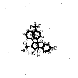 O=C(O)[C@H]1[C@@H](O)[C@@]2(O)c3ncc(Cl)cc3O[C@@]2(c2ccc(C(F)(F)F)cc2)[C@@H]1C1C=CC=CC1